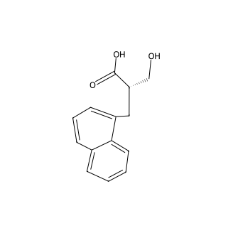 O=C(O)[C@H](CO)Cc1cccc2ccccc12